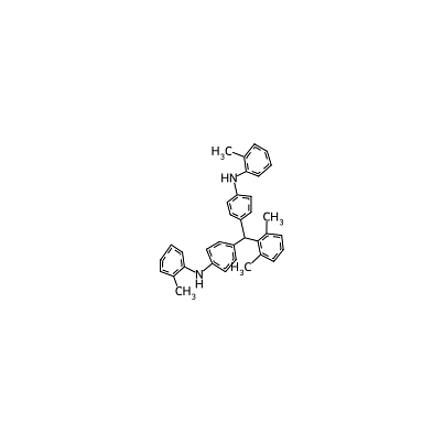 Cc1ccccc1Nc1ccc(C(c2ccc(Nc3ccccc3C)cc2)c2c(C)cccc2C)cc1